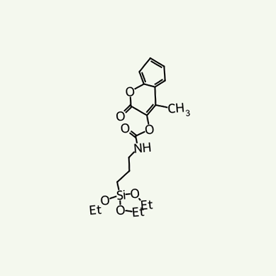 CCO[Si](CCCNC(=O)Oc1c(C)c2ccccc2oc1=O)(OCC)OCC